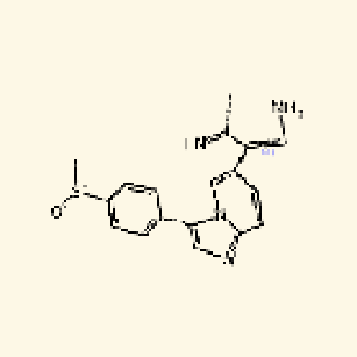 CC(=N)/C(=C\N)c1ccc2ncc(-c3ccc([S+](C)[O-])cc3)n2c1